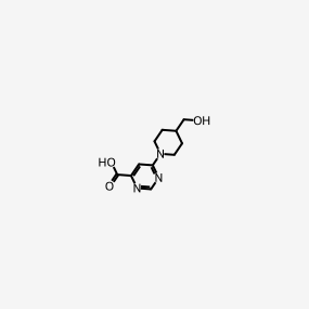 O=C(O)c1cc(N2CCC(CO)CC2)ncn1